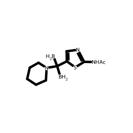 BC(B)(c1cnc(NC(C)=O)s1)N1CCCCC1